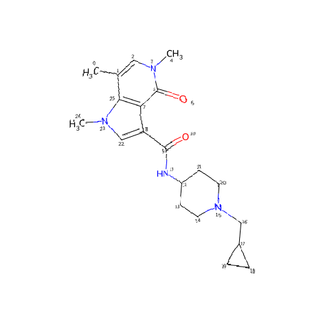 Cc1cn(C)c(=O)c2c(C(=O)NC3CCN(CC4CC4)CC3)cn(C)c12